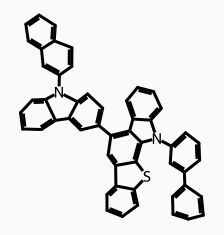 c1ccc(-c2cccc(-n3c4ccccc4c4c(-c5ccc6c(c5)c5ccccc5n6-c5ccc6ccccc6c5)cc5c6ccccc6sc5c43)c2)cc1